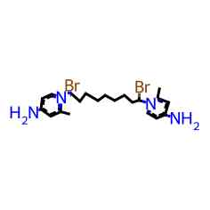 Cc1cc(N)cc[n+]1C(Br)CCCCCCCC(Br)[n+]1ccc(N)cc1C